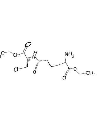 CCOC(=O)C(N)CCC(=O)N[C@@H](CCl)C(=O)OCC